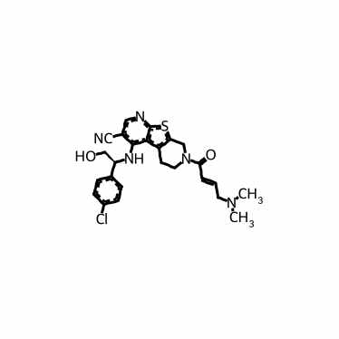 CN(C)C/C=C/C(=O)N1CCc2c(sc3ncc(C#N)c(N[C@H](CO)c4ccc(Cl)cc4)c23)C1